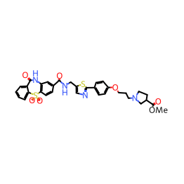 COC(=O)C1CCN(CCCOc2ccc(-c3ncc(CNC(=O)c4ccc5c(c4)NC(=O)c4ccccc4S5(=O)=O)s3)cc2)C1